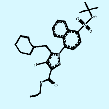 CCOC(=O)c1nn(-c2ccc(S(=O)(=O)NC(C)(C)C)c3ccccc23)c(CC2CCCCC2)c1Cl